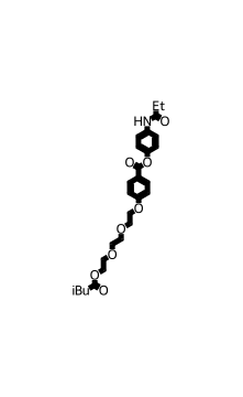 CCC(=O)Nc1ccc(OC(=O)c2ccc(OCCOCCOCCOC(=O)C(C)CC)cc2)cc1